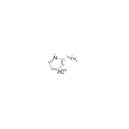 C=Cc1ccccn1.Cl